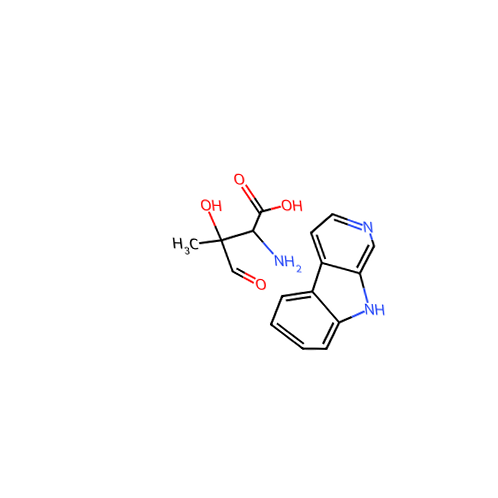 CC(O)(C=O)C(N)C(=O)O.c1ccc2c(c1)[nH]c1cnccc12